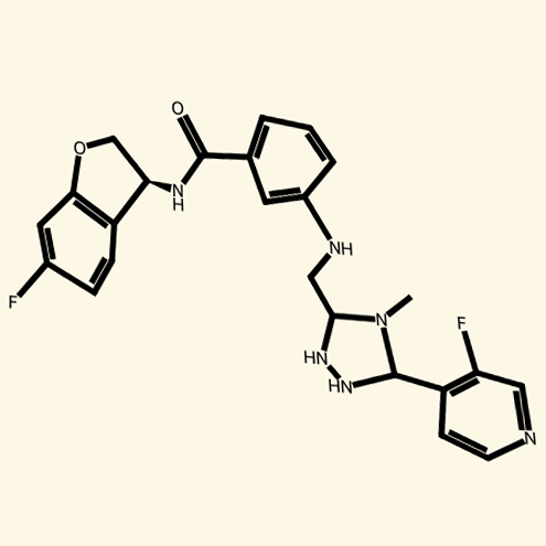 CN1C(CNc2cccc(C(=O)N[C@@H]3COc4cc(F)ccc43)c2)NNC1c1ccncc1F